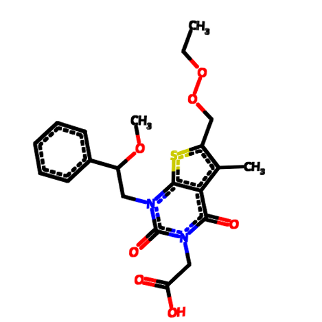 CCOOCc1sc2c(c1C)c(=O)n(CC(=O)O)c(=O)n2CC(OC)c1ccccc1